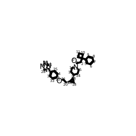 O=C(CC1(c2ccccc2)CCC1)N1CCC([C@H]2C[C@H]2CCOc2ccc(-n3cnnn3)cc2)CC1